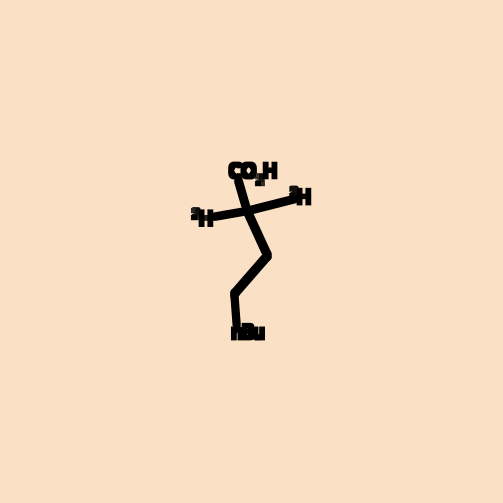 [2H]C([2H])(CCCCCC)C(=O)O